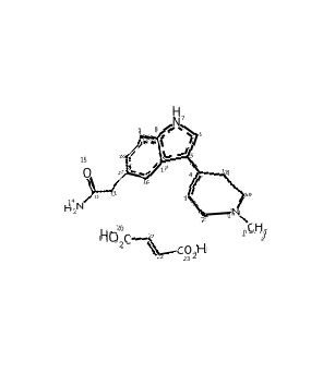 CN1CC=C(c2c[nH]c3ccc(CC(N)=O)cc23)CC1.O=C(O)C=CC(=O)O